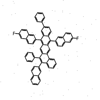 Fc1ccc2cc(-c3c4cc(-c5ccccc5)ccc4c(-c4ccc5cc(F)ccc5c4)c4cc5c(cc34)c(-c3ccccc3)c(-c3ccc4ccccc4c3)c3ccccc35)ccc2c1